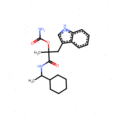 CC(NC(=O)C(C)(Cc1c[nH]c2ccccc12)OC(N)=O)C1CCCCC1